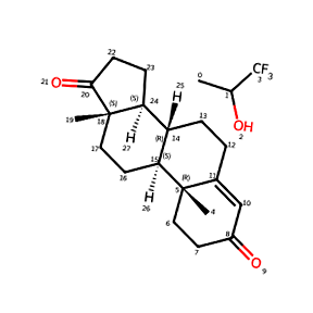 CC(O)C(F)(F)F.C[C@]12CCC(=O)C=C1CC[C@@H]1[C@@H]2CC[C@]2(C)C(=O)CC[C@@H]12